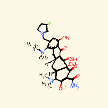 CN(C)c1c(CN2CC[C@@H](F)C2)cc(O)c2c1C[C@H]1C[C@H]3[C@H](N(C)C)C(O)=C(C(N)=O)C(=O)[C@@]3(O)C(O)=C1C2=O